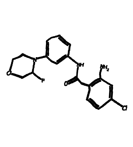 Nc1cc(Cl)ccc1C(=O)Nc1cccc(N2CCOCC2F)c1